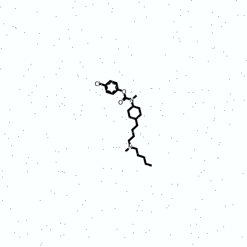 CCCCCN(C)CCCCC1CCC(N(C)C(=O)Oc2ccc(Cl)cc2)CC1